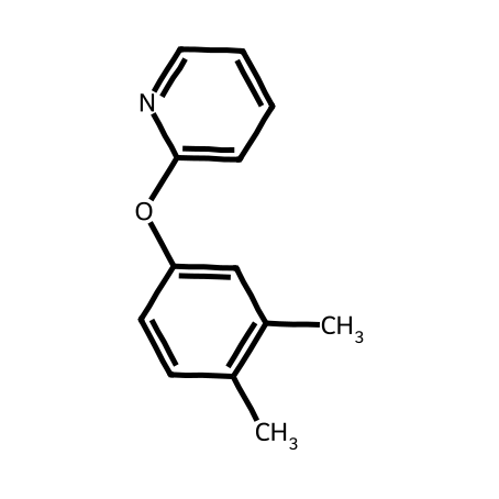 Cc1ccc(Oc2ccccn2)cc1C